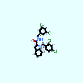 O=C(NCc1cc(Cl)cc(Cl)c1)c1cc2ccccc2n1Cc1ccc(Cl)cc1Cl